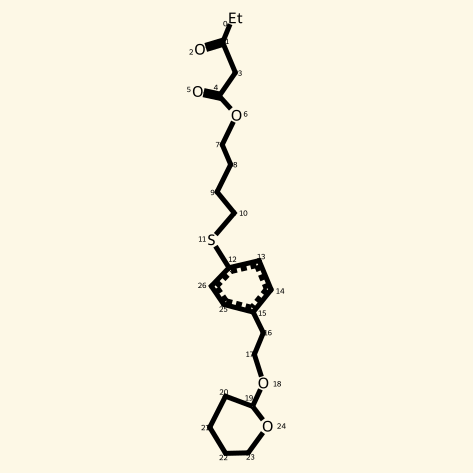 CCC(=O)CC(=O)OCCCCSc1ccc(CCOC2CCCCO2)cc1